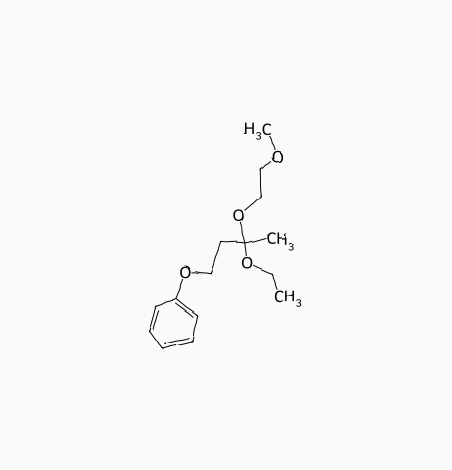 CCOC(C)(CCOc1ccccc1)OCCOC